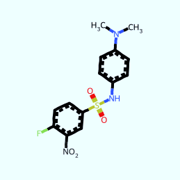 CN(C)c1ccc(NS(=O)(=O)c2ccc(F)c([N+](=O)[O-])c2)cc1